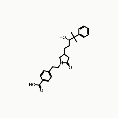 CC(C)(c1ccccc1)[C@H](O)CCC1CC(=O)N(CCc2ccc(C(=O)O)cc2)C1